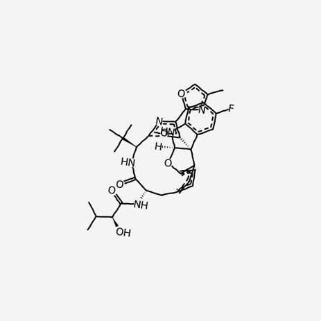 Cc1coc(-c2nc3oc2[C@@]24c5cc(F)ccc5N[C@@H]2Oc2ccc(cc24)C[C@H](NC(=O)[C@@H](O)C(C)C)C(=O)N[C@H]3C(C)(C)C)n1